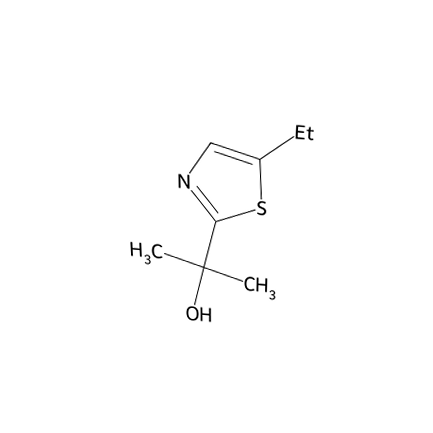 [CH2]Cc1cnc(C(C)(C)O)s1